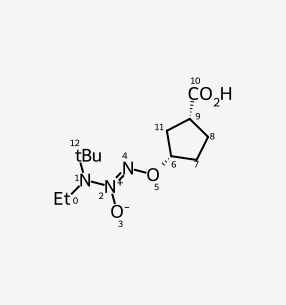 CCN(/[N+]([O-])=N/O[C@H]1CC[C@@H](C(=O)O)C1)C(C)(C)C